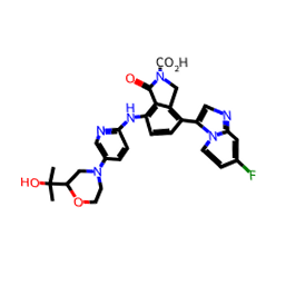 CC(C)(O)C1CN(c2ccc(Nc3ccc(-c4cnc5cc(F)ccn45)c4c3C(=O)N(C(=O)O)C4)nc2)CCO1